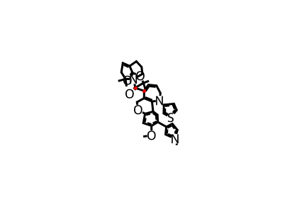 COc1cc2c(cc1-c1ccn(C)c1)C1=C(CO2)C(C(=O)N2CCC/C(C(=O)OC(C)(C)C)=C/CC2(C)C)=C=CCN1c1ccsc1